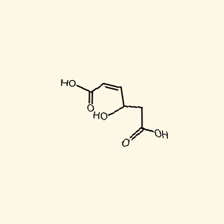 O=C(O)/C=C\C(O)CC(=O)O